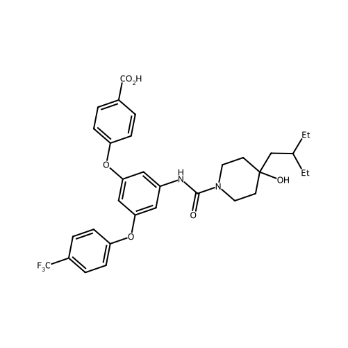 CCC(CC)CC1(O)CCN(C(=O)Nc2cc(Oc3ccc(C(=O)O)cc3)cc(Oc3ccc(C(F)(F)F)cc3)c2)CC1